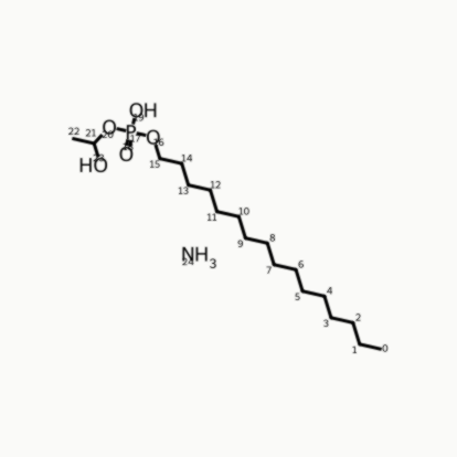 CCCCCCCCCCCCCCCCOP(=O)(O)OC(C)O.N